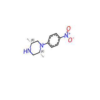 C[C@@H]1CN(c2ccc([N+](=O)[O-])cc2)[C@H](C)CN1